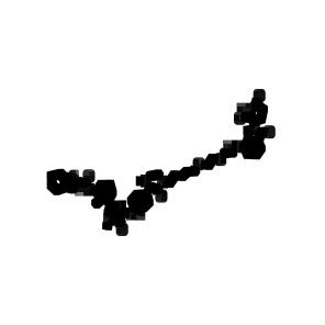 Cc1c(NC(=O)c2cc3c(s2)CCCC3)cccc1-c1cn(C)c(=O)c(Nc2ccc([C@@H]3C(=O)N(CCCCCOCCOCCNc4cccc5c4CN(C4CCC(=O)NC4=O)C5=O)CCN3C)cc2)n1